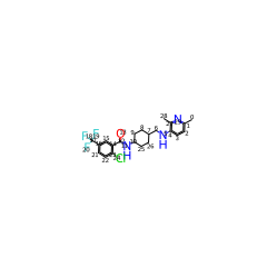 Cc1ccc(NCC2CCC(NC(=O)c3cc(C(F)(F)F)ccc3Cl)CC2)c(C)n1